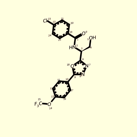 O=C(N[C@@H](CO)c1nnc(-c2ccc(OC(F)(F)F)cc2)o1)c1ccc(Cl)cc1